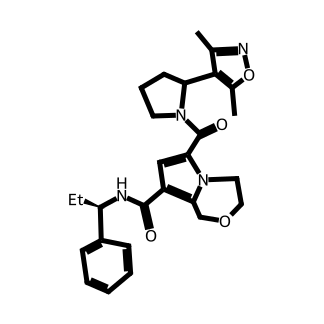 CC[C@@H](NC(=O)c1cc(C(=O)N2CCCC2c2c(C)noc2C)n2c1COCC2)c1ccccc1